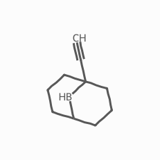 C#CC12BC(CCC1)CCC2